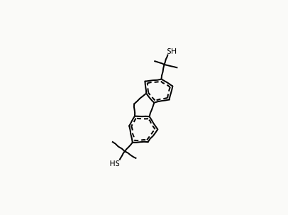 CC(C)(S)c1ccc2c(c1)Cc1cc(C(C)(C)S)ccc1-2